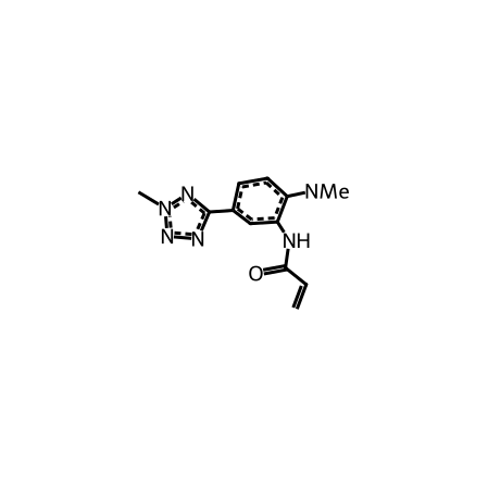 C=CC(=O)Nc1cc(-c2nnn(C)n2)ccc1NC